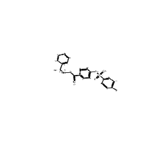 Cc1ccc(S(=O)(=O)Oc2ccc(C(=O)CN[C@H](C)c3ccccc3)cc2)cc1